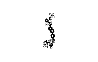 COC(=O)NCC(=O)N1CCC[C@H]1c1ncc(-c2ccc3cc(-c4ccc(-c5cnc([C@@H]6CC(=O)CN6C(=O)[C@@H](NC(=O)OC)C(C)C)[nH]5)cc4)ccc3c2)[nH]1